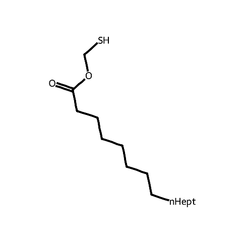 CCCCCCCCCCCCCCC(=O)OCS